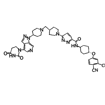 N#Cc1ccc(O[C@H]2CC[C@H](NC(=O)c3ccc(N4CCC(CN5CCC(n6ncc7c(N8CCC(=O)NC8=O)cncc76)CC5)CC4)nn3)CC2)cc1Cl